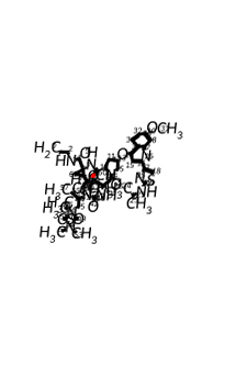 C=CCNC(=O)[C@@]1(NC(=O)[C@@H]2C[C@@H](Oc3cc(-c4csc(NC(C)C)n4)nc4cc(OC)ccc34)CN2C(=O)[C@@H](NC(=O)NC(CN(C)S(=O)(=O)N(C)C)C(C)(C)C)C(C)(C)C)CC1C=C